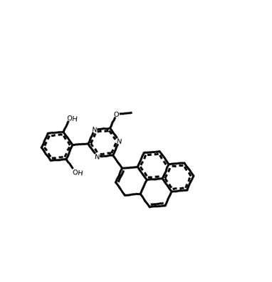 COc1nc(C2=CCC3C=Cc4cccc5ccc2c3c45)nc(-c2c(O)cccc2O)n1